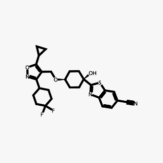 N#Cc1ccc2nc([C@]3(O)CC[C@@H](OCc4c(C5CCC(F)(F)CC5)noc4C4CC4)CC3)sc2c1